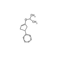 CC(C)OC1=CCC(c2ccccc2)C1